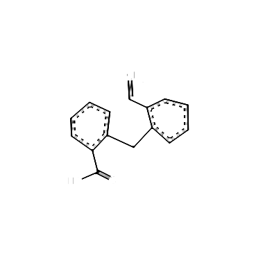 C=Cc1ccccc1Cc1ccccc1C(=S)S